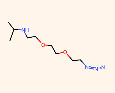 CC(C)NCCOCCOCCN=[N+]=[N-]